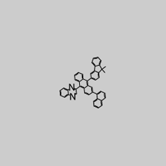 CC1(C)c2ccccc2-c2cc(-c3c4ccccc4c(-c4cnc5ccccc5n4)c4ccc(-c5cccc6ccccc56)cc34)ccc21